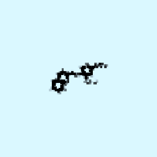 COc1cc(C=O)c(OCc2ccc3ccccc3n2)cn1